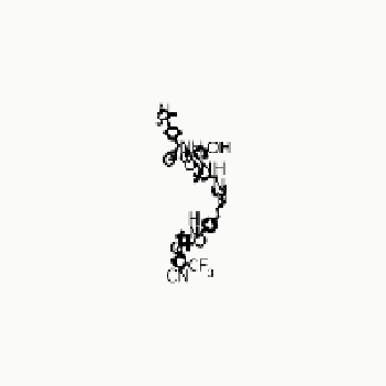 Cc1ncsc1-c1ccc([C@H](NC(=O)[C@@H]2C[C@@H](O)CN2C(=O)[C@H]2NC(CN3CCN(CCCc4ccc(C(=O)N[C@H]5C(C)(C)[C@H](Oc6ccc(C#N)c(C(F)(F)F)c6)C5(C)C)cc4)CC3)=CC2(C)C)C2COC2)cc1